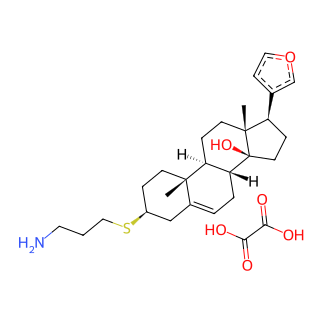 C[C@]12CC[C@H](SCCCN)CC1=CC[C@@H]1[C@@H]2CC[C@]2(C)[C@@H](c3ccoc3)CC[C@]12O.O=C(O)C(=O)O